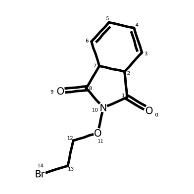 O=C1C2C=CC=CC2C(=O)N1OCCBr